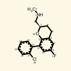 CNC[C@H]1CCc2cc(F)cc(-c3ccccc3Cl)c2O1